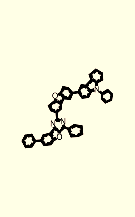 C1=CC(n2c3ccccc3c3cc(-c4ccc5oc6ccc(-c7nc(-c8ccccc8)c8oc9ccc(-c%10ccccc%10)cc9c8n7)cc6c5c4)ccc32)=CCC1